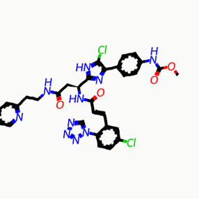 COC(=O)Nc1ccc(-c2nc([C@H](CC(=O)NCCc3ccccn3)NC(=O)/C=C/c3cc(Cl)ccc3-n3cnnn3)[nH]c2Cl)cc1